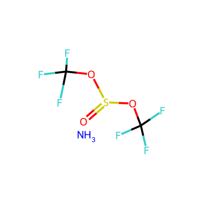 N.O=S(OC(F)(F)F)OC(F)(F)F